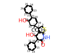 O=C(O)C1(c2csc3[nH]c(=O)c(-c4ccccc4)c(O)c23)C=CC(c2ccccc2)=C(O)C1